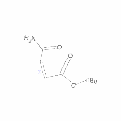 CCCCOC(=O)/C=C\C(N)=O